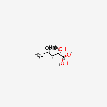 CCCCC(=O)O.O=CO.[NaH]